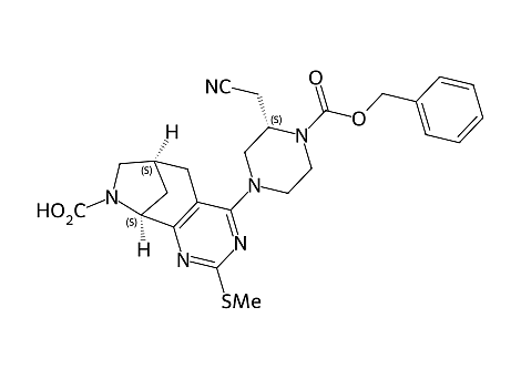 CSc1nc2c(c(N3CCN(C(=O)OCc4ccccc4)[C@@H](CC#N)C3)n1)C[C@H]1C[C@@H]2N(C(=O)O)C1